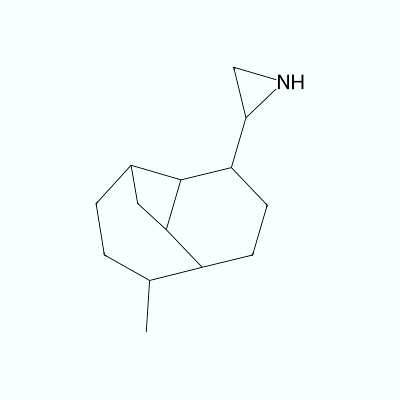 CC1CCC2CC3C1CCC(C1CN1)C23